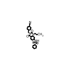 CCCn1c(=O)n(Cc2ccc(C#N)cc2)c(=O)c2ccc(NS(=O)(=O)c3ccccc3)cc21